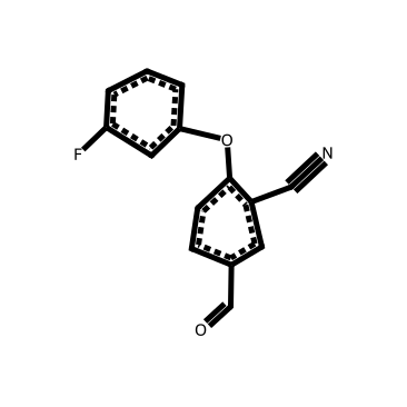 N#Cc1cc(C=O)ccc1Oc1cccc(F)c1